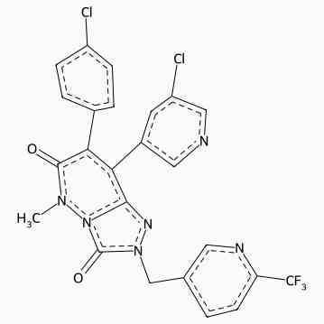 Cn1c(=O)c(-c2ccc(Cl)cc2)c(-c2cncc(Cl)c2)c2nn(Cc3ccc(C(F)(F)F)nc3)c(=O)n21